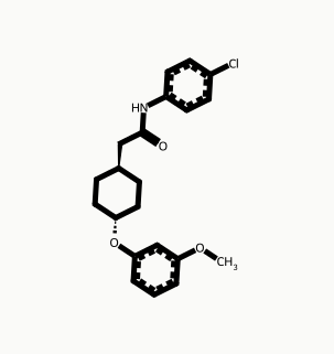 COc1cccc(O[C@H]2CC[C@H](CC(=O)Nc3ccc(Cl)cc3)CC2)c1